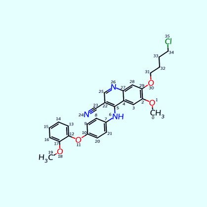 COc1cc2c(Nc3ccc(Oc4ccccc4OC)cc3)c(C#N)cnc2cc1OCCCCCl